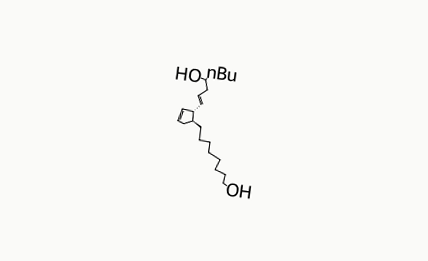 CCCCC(O)C/C=C/[C@H]1C=CC[C@@H]1CCCCCCCCO